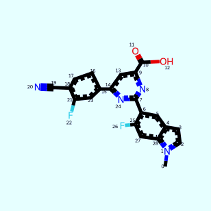 Cn1ccc2cc(-c3nc(C(=O)O)cc(-c4ccc(C#N)c(F)c4)n3)c(F)cc21